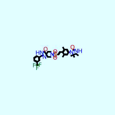 Cc1cc(N2C(=O)NC(C)C2(C)C)cc(C)c1/C=C/S(=O)(=O)N1CCC2(CC1)N=C(c1cccc(C(F)(F)F)c1)NC2=O